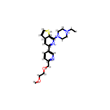 CCN1CCN(c2nc(-c3ccc(COCCOC)nc3)cc3ccsc23)CC1